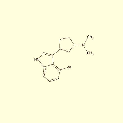 CN(C)C1CCC(c2c[nH]c3cccc(Br)c23)C1